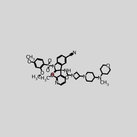 COc1ccc(S(=O)(=O)N2C(=O)[C@@](NC(=O)N3CC(N4CCC(N(C)C5CCOCC5)CC4)C3)(c3cccnc3OC)c3cc(C#N)ccc32)c(OC)c1